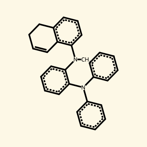 CN(c1ccccc1N(c1ccccc1)c1ccccc1)c1cccc2c1C=CCC2